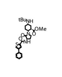 COC(=O)[C@@H]1C[C@H](NC(C)(C)C)CC[C@@H]1N1CC[C@H](NC(=O)c2cc(-c3ccccc3)cs2)C1=O